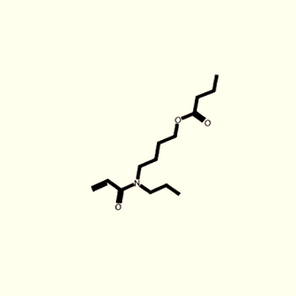 C=CC(=O)N(CCC)CCCCOC(=O)CCC